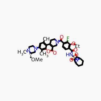 CCOc1c(C(=O)NS(=O)(=O)N2C3CCCC2CC3)ccc(C(=O)N2CCc3c(c(=O)oc4c(C)c(N5CCN(C)[C@@H](COC)C5)cc(C)c34)C2)c1F